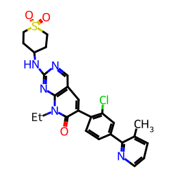 CCn1c(=O)c(-c2ccc(-c3ncccc3C)cc2Cl)cc2cnc(NC3CCS(=O)(=O)CC3)nc21